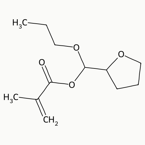 C=C(C)C(=O)OC(OCCC)C1CCCO1